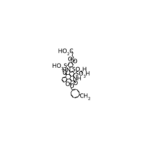 C=C1/C=C\C=C/C/C(COC(=O)c2c3c4c(c(Nc5c(S(=O)(=O)O)cc(S(=O)(=O)CCCC(=O)O)cc5S(=O)(=O)O)cc(S(=O)(=O)O)c4[nH]c2=O)C(=O)c2ccccc2-3)=C\C=C/1